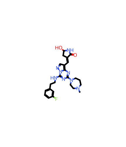 CN1CCCN(c2nc(NCCc3cccc(F)c3)n3ncc(/C=C4\CC(O)NC4=O)c3n2)CC1